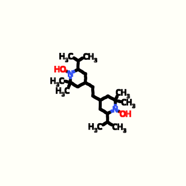 CC(C)C1CC(CCC2CC(C(C)C)N(O)C(C)(C)C2)CC(C)(C)N1O